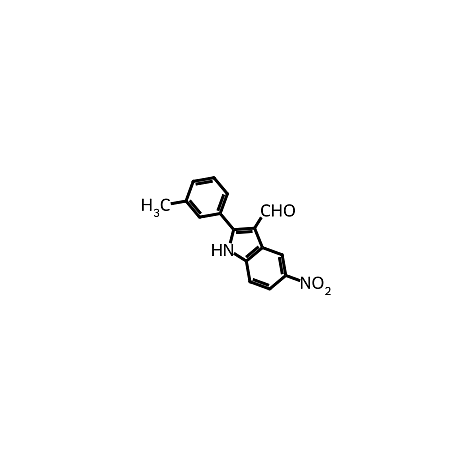 Cc1cccc(-c2[nH]c3ccc([N+](=O)[O-])cc3c2C=O)c1